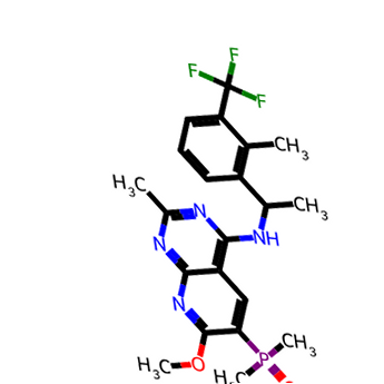 COc1nc2nc(C)nc(NC(C)c3cccc(C(F)(F)F)c3C)c2cc1P(C)(C)=O